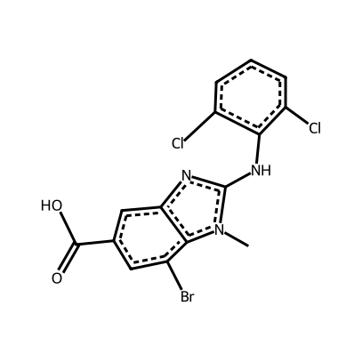 Cn1c(Nc2c(Cl)cccc2Cl)nc2cc(C(=O)O)cc(Br)c21